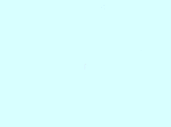 Cc1ccccc1P(C1CCCC1)C1CCCC1.[Pd]